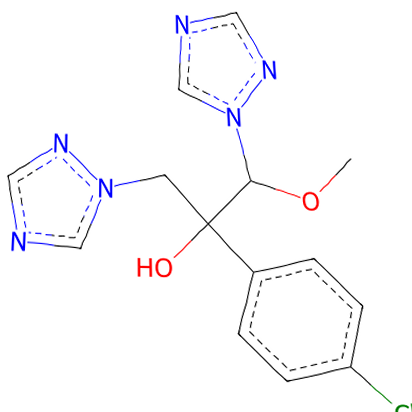 COC(n1cncn1)C(O)(Cn1cncn1)c1ccc(Cl)cc1